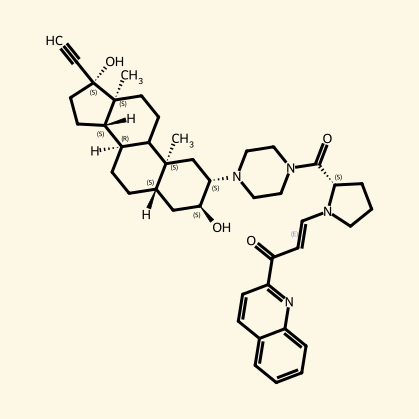 C#C[C@]1(O)CC[C@H]2[C@@H]3CC[C@H]4C[C@H](O)[C@@H](N5CCN(C(=O)[C@@H]6CCCN6/C=C/C(=O)c6ccc7ccccc7n6)CC5)C[C@]4(C)C3CC[C@@]21C